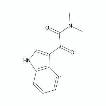 CN(C)C(=O)C(=O)c1c[nH]c2ccc[c]c12